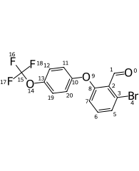 O=Cc1c(Br)cccc1Oc1ccc(OC(F)(F)F)cc1